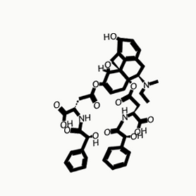 CCN(C)[C@@H]1Cc2ccc(O)c3c2[C@@]2(C)[C@@H](O3)C(OC(=O)C[C@H](NC(=O)[C@@H](O)c3ccccc3)C(=O)O)=CC[C@@]12OC(=O)C[C@H](NC(=O)[C@@H](O)c1ccccc1)C(=O)O